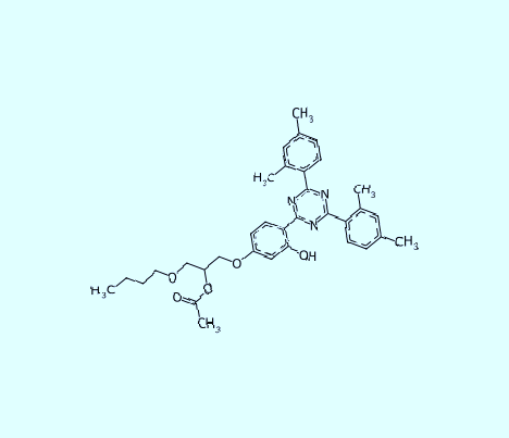 CCCCOCC(COc1ccc(-c2nc(-c3ccc(C)cc3C)nc(-c3ccc(C)cc3C)n2)c(O)c1)OC(C)=O